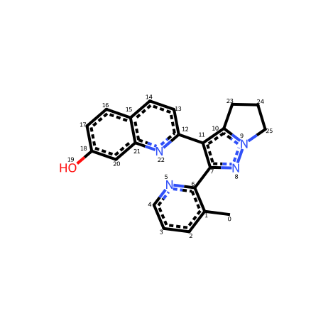 Cc1cccnc1-c1nn2c(c1-c1ccc3ccc(O)cc3n1)CCC2